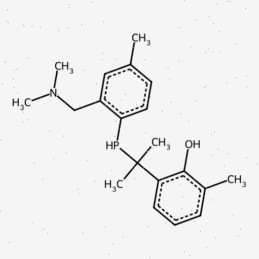 Cc1ccc(PC(C)(C)c2cccc(C)c2O)c(CN(C)C)c1